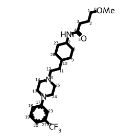 COCCCC(=O)NC1CCC(CCN2CCN(c3cccc(C(F)(F)F)c3)CC2)CC1